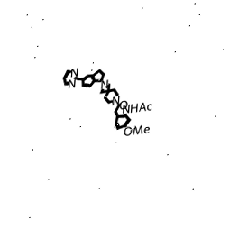 COc1ccc(CC(=O)N2CCC3(CC2)CN(C2CCc4cc(-c5ncccn5)ccc42)C3)c(NC(C)=O)c1